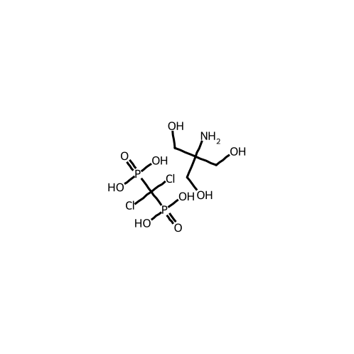 NC(CO)(CO)CO.O=P(O)(O)C(Cl)(Cl)P(=O)(O)O